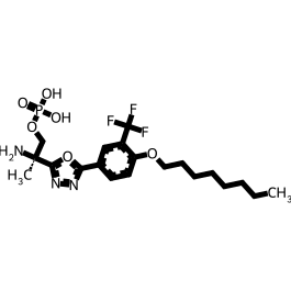 CCCCCCCCOc1ccc(-c2nnc([C@@](C)(N)COP(=O)(O)O)o2)cc1C(F)(F)F